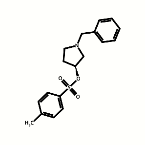 Cc1ccc(S(=O)(=O)O[C@H]2CCN(Cc3ccccc3)C2)cc1